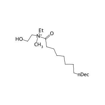 CCCCCCCCCCCCCCCCCC(=O)[N+](C)(CC)CCO